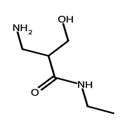 CCNC(=O)C(CN)CO